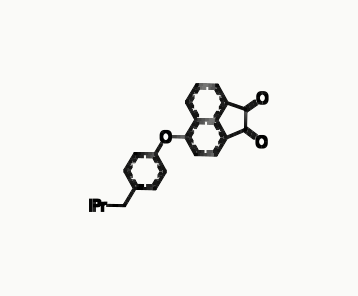 CC(C)Cc1ccc(Oc2ccc3c4c(cccc24)C(=O)C3=O)cc1